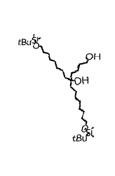 CC(C)(C)[Si](C)(C)OCCCCCCCCC(O)(CCCCO)CCCCCCCCO[Si](C)(C)C(C)(C)C